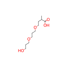 CC(CCOCCCOCCCO)C(=O)O